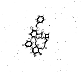 O=C1c2c(OCc3ccccc3)c(=O)ccn2N2CN1C1(/C=C/COc3c(ccc(F)c3F)[C@@H]2c2ccccc2)CCC1